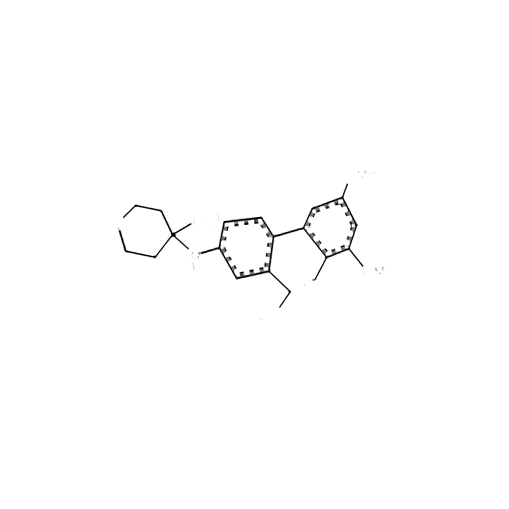 COc1cc(OC)c(Cl)c(-c2ccc(NC3(C(=O)O)CCOCC3)cc2COCC(C)C)c1